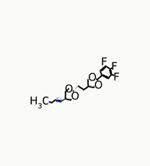 CC/C=C/[C@H]1CO[C@H](CCC2COC(c3cc(F)c(F)c(F)c3)OC2)OC1